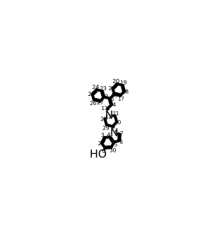 Oc1ccc2c(ccn2C2CCN(CC=C(c3ccccc3)c3ccccc3)CC2)c1